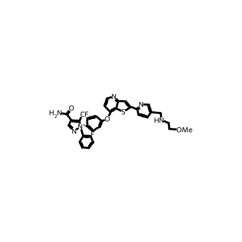 COCCNCc1ccc(-c2cc3nccc(Oc4ccc([N+]5(c6ccccc6)N=CC(C(N)=O)=C5C(F)(F)F)c(F)c4)c3s2)nc1